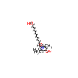 CC1(C)CC(O)CC(C)(C)N1COCCCCCCCCCCCCO